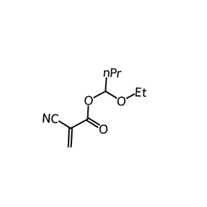 C=C(C#N)C(=O)OC(CCC)OCC